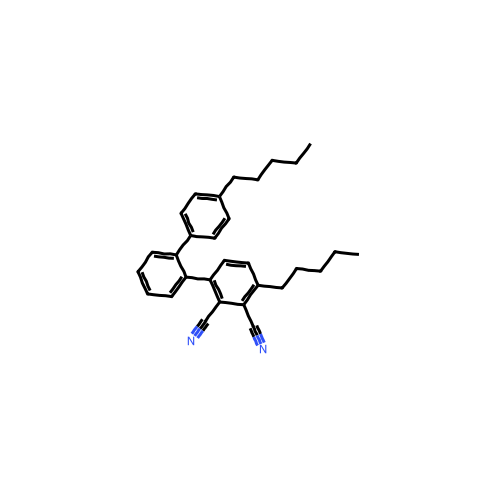 CCCCCc1ccc(-c2ccccc2-c2ccc(CCCCC)c(C#N)c2C#N)cc1